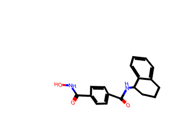 O=C(NO)c1ccc(C(=O)NC2CCCc3ccccc32)cc1